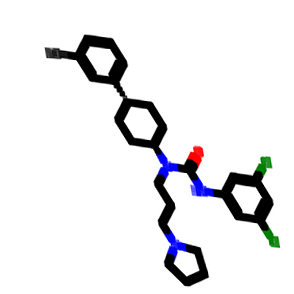 N#Cc1cccc([C@H]2CC[C@H](N(CCCN3CCCC3)C(=O)Nc3cc(Cl)cc(Cl)c3)CC2)c1